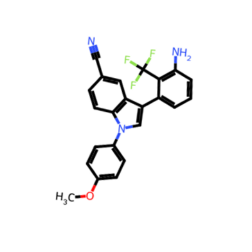 COc1ccc(-n2cc(-c3cccc(N)c3C(F)(F)F)c3cc(C#N)ccc32)cc1